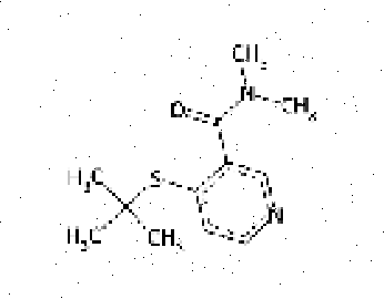 CN(C)C(=O)c1cnccc1SC(C)(C)C